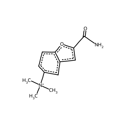 C[N+](C)(C)c1ccc2oc(C(N)=O)cc2c1